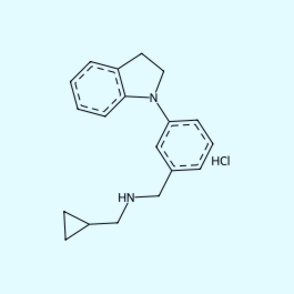 Cl.c1cc(CNCC2CC2)cc(N2CCc3ccccc32)c1